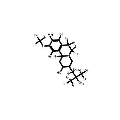 [2H]c1c(OC([2H])([2H])[2H])c(OC)c([2H])c2c1C1([2H])CC(O)C(C([2H])([2H])C(C)(C([2H])([2H])[2H])C([2H])([2H])[2H])CN1C([2H])([2H])C2([2H])[2H]